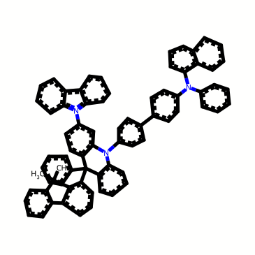 CC1(C)c2ccccc2-c2cccc(C3(c4ccccc4)c4ccccc4N(c4ccc(-c5ccc(N(c6ccccc6)c6cccc7ccccc67)cc5)cc4)c4cc(-n5c6ccccc6c6ccccc65)ccc43)c21